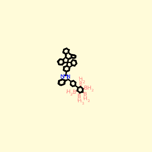 Bc1c(B)c(B)c(-c2ccc(-c3nc(-c4ccc5c(c4)-c4ccccc4C54c5ccccc5-c5c4c4ccccc4c4ccccc54)nc4ccccc34)cc2)c(B)c1B